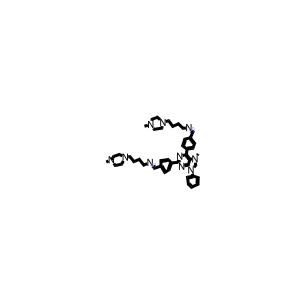 CN1CCN(CCCC/N=C\c2ccc(-c3nc(-c4ccc(/C=N/CCCCN5CCN(C)CC5)cc4)nc4c3N(C)CN4c3ccccc3)cc2)CC1